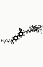 CCOC(=O)c1ccc(-c2ccc(OCCCCO[Si](C)(C)C(C)(C)C)c(Br)c2)cc1